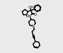 O=C(NC1CCN(CCC#CC2CC=CCC2)CC1)C(O)(c1ccccc1)C1CCCC1